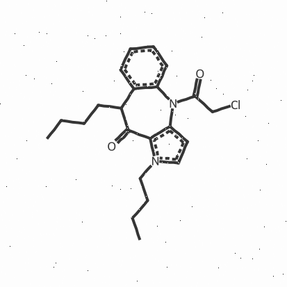 CCCCC1C(=O)c2c(ccn2CCCC)N(C(=O)CCl)c2ccccc21